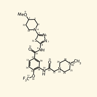 COC1CCN(c2nnc(NC(=O)c3ccc(OC(F)(F)F)c(NC(=O)CN4CCN(C)CC4)c3)s2)CC1